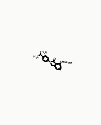 CCCCCOc1cccc2c1C(=O)N(c1ccc(C(C)C(=O)O)cc1)C2